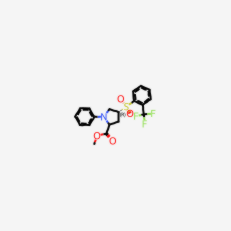 COC(=O)C1C[C@@H](S(=O)(=O)c2ccccc2C(F)(F)F)CN1c1ccccc1